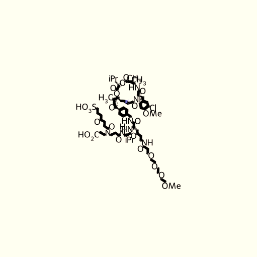 COCCOCCOCCOCCC(=O)NCCCC[C@H](NC(=O)[C@@H](NC(=O)CCN(CCC(=O)O)C(=O)CCC(=O)CCCS(=O)(=O)O)C(C)C)C(=O)NCc1ccc([C@H]2O[C@@H]2[C@@H](C)[C@@H]2C/C=C/C(=O)N[C@H](Cc3ccc(OC)c(Cl)c3)C(=O)NCC(C)(C)C(=O)O[C@@H](CC(C)C)C(=O)O2)cc1